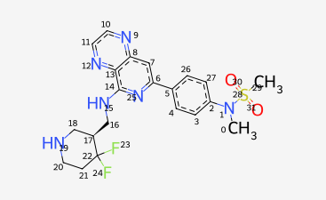 CN(c1ccc(-c2cc3nccnc3c(NC[C@@H]3CNCCC3(F)F)n2)cc1)S(C)(=O)=O